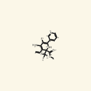 C=CC1=C(N)C(F)=C(c2cccnc2)NC1(C(=O)OC)C(F)(F)F